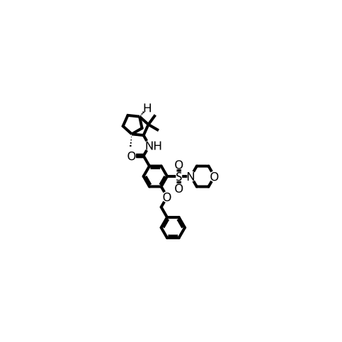 CC1(C)C(NC(=O)c2ccc(OCc3ccccc3)c(S(=O)(=O)N3CCOCC3)c2)[C@@]2(C)CC[C@@H]1C2